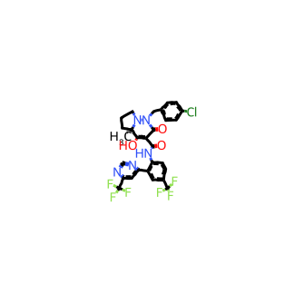 C[C@]12CCCN1N(Cc1ccc(Cl)cc1)C(=O)C(C(=O)Nc1ccc(C(F)(F)F)cc1-c1cc(C(F)(F)F)ncn1)=C2O